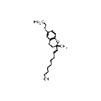 CC1(C=CCCCCCCC#N)CCc2cc(OCC(=O)O)ccc2O1